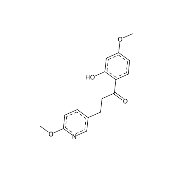 COc1ccc(C(=O)CCc2ccc(OC)nc2)c(O)c1